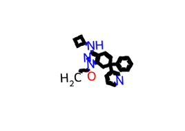 C=CC(=O)n1nc(NC2CCC2)c2c1CC(c1ccccc1)(c1cccnc1)C=C2